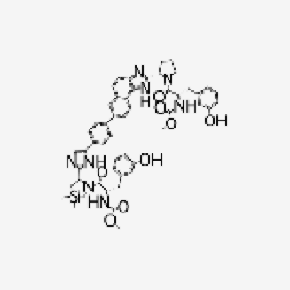 COC(=O)N[C@@H](Cc1cccc(O)c1)C(=O)N1C[Si](C)(C)C[C@H]1c1ncc(-c2ccc(-c3ccc4c(ccc5nc([C@@H]6CCCN6C(=O)[C@H](Cc6cccc(O)c6)NC(=O)OC)[nH]c54)c3)cc2)[nH]1